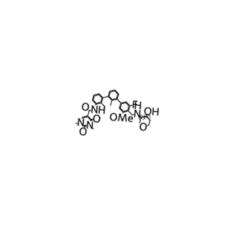 COc1cc(-c2cccc(-c3cccc(NC(=O)c4cn(C)c(=O)n(C)c4=O)c3C)c2C)cc(F)c1CN[C@@H]1COCC[C@H]1O